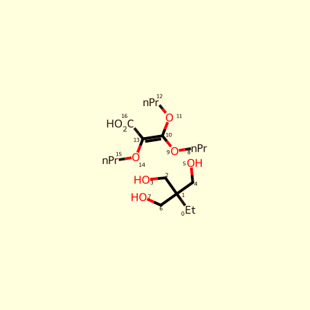 CCC(CO)(CO)CO.CCCOC(OCCC)=C(OCCC)C(=O)O